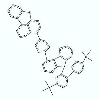 CC(C)(C)c1ccc2c(c1)C1(c3cc(C(C)(C)C)ccc3-2)c2ccccc2-c2c(-c3ccc(-c4ccc5c6c(cccc46)-c4ccccc4S5)cc3)cccc21